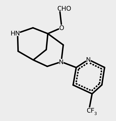 O=COC12CNCC(CN(c3cc(C(F)(F)F)ccn3)C1)C2